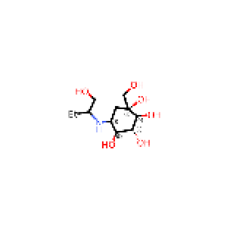 CCC(CO)N[C@H]1C[C@](O)(CO)[C@@H](O)[C@H](O)[C@H]1O